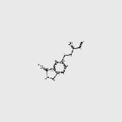 C=CC(=O)CCc1ccc2c(c1)C(=O)CC2